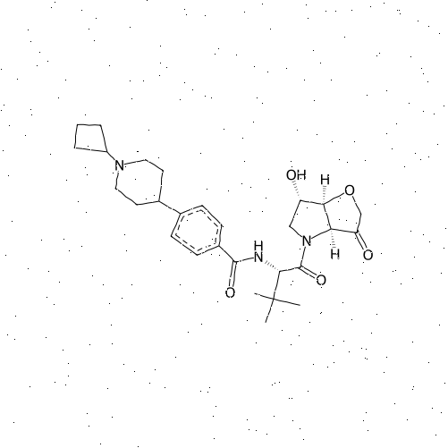 CC(C)(C)[C@H](NC(=O)c1ccc(C2CCN(C3CCC3)CC2)cc1)C(=O)N1C[C@H](O)[C@H]2OCC(=O)[C@H]21